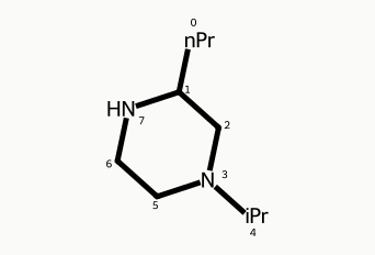 CCCC1CN(C(C)C)CCN1